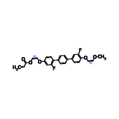 C=CC(=O)O/C=C\Oc1ccc(-c2ccc(-c3ccc(O/C=C\OC)c(F)c3)cc2)c(F)c1